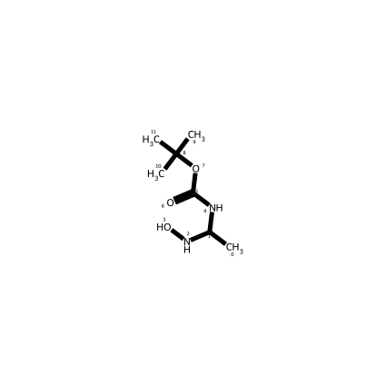 CC(NO)NC(=O)OC(C)(C)C